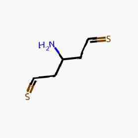 NC(CC=S)CC=S